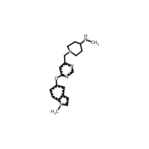 CNC1CCN(Cc2cc(Oc3ccc4c(ccn4C)c3)ncn2)CC1